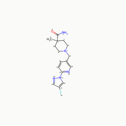 CC1(C(N)=O)CCN(Cc2ccc(-n3cc(F)cn3)nc2)CC1